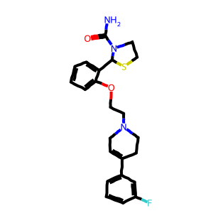 NC(=O)N1CCSC1c1ccccc1OCCN1CC=C(c2cccc(F)c2)CC1